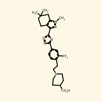 Cn1nc(-c2nc(-c3ccc(CCN4CCC(C(=O)O)CC4)c(C(F)(F)F)c3)no2)c2c1CC(C)(C)CC2